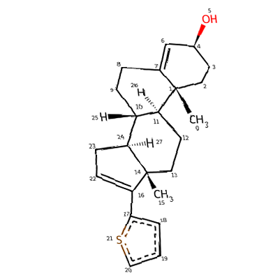 C[C@]12CC[C@H](O)C=C1CC[C@@H]1[C@@H]2CC[C@]2(C)C(c3cccs3)=CC[C@@H]12